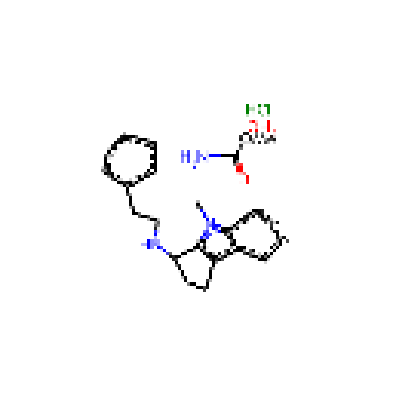 COC(N)=O.Cl.Cn1c2c(c3c[c]ccc31)CCC2NCCc1ccccc1.O